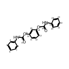 O=C(Nc1ccccc1)Oc1cccc(OC(=O)Nc2ccccc2)c1